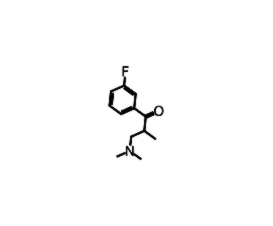 CC(CN(C)C)C(=O)c1cccc(F)c1